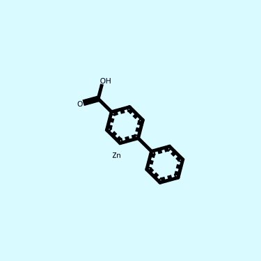 O=C(O)c1ccc(-c2ccccc2)cc1.[Zn]